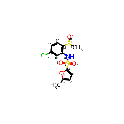 Cc1ccc(S(=O)(=O)Nc2cc(Cl)ccc2[S+](C)[O-])o1